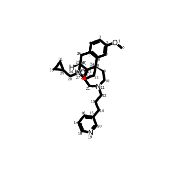 COc1ccc2c(c1)[C@@]13CCN(CCCc4cccnc4)CC[C@@]1(O)[C@@H](C2)N(CC1CC1)CC3